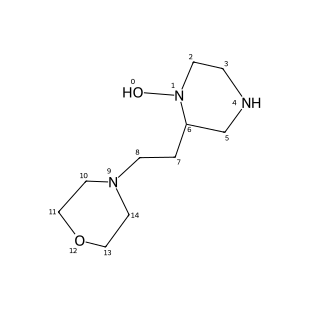 ON1CCNCC1CCN1CCOCC1